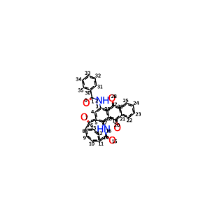 O=C(Nc1cc2c(=O)c3ccc(cc3)c(=O)[nH]c2c2c(=O)c3ccccc3c(=O)c12)c1ccccc1